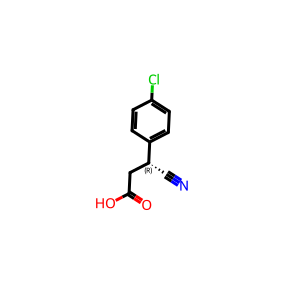 N#C[C@H](CC(=O)O)c1ccc(Cl)cc1